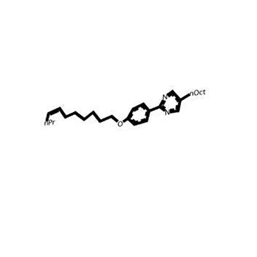 CCC/C=C\CCCCCCOc1ccc(-c2ncc(CCCCCCCC)cn2)cc1